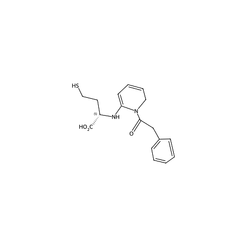 O=C(O)[C@H](CCS)NC1=CC=CCN1C(=O)Cc1ccccc1